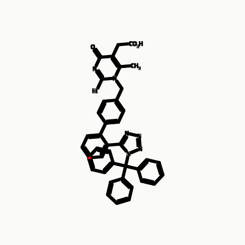 CCc1nc(=O)c(CC(=O)O)c(C)n1Cc1ccc(-c2ccccc2-c2nnnn2C(c2ccccc2)(c2ccccc2)c2ccccc2)cc1